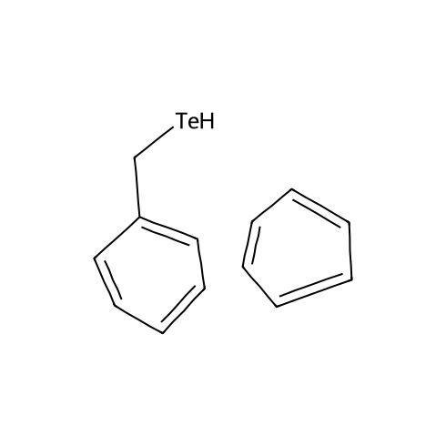 [TeH]Cc1ccccc1.c1ccccc1